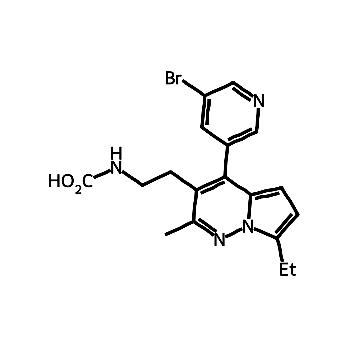 CCc1ccc2c(-c3cncc(Br)c3)c(CCNC(=O)O)c(C)nn12